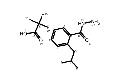 CC(C)Cc1ccccc1C(=O)NN.O=C(O)C(F)(F)F